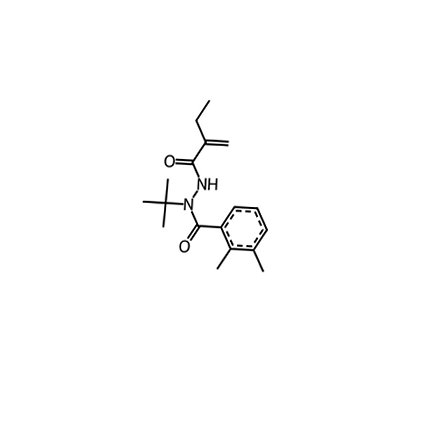 C=C(CC)C(=O)NN(C(=O)c1cccc(C)c1C)C(C)(C)C